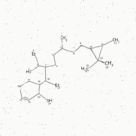 CCC(S)C(CCC(C)CCC1C(C)C1(C)C)C(CC)C1CCC=CC1S